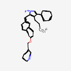 O=C(O)CCc1c(-c2ccccc2)c[nH]c1Cc1ccc2cc(OCc3cccnc3)ccc2c1